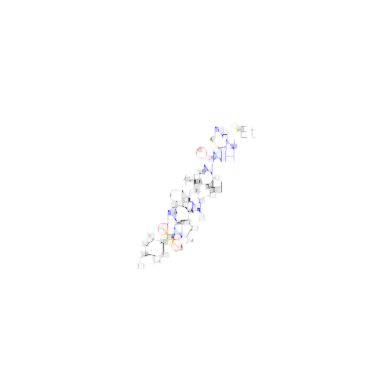 CCSc1nsc(NC(=O)N2C[C@H]3CC(N(C)c4c(C#N)cnc5c4ccn5S(=O)(=O)c4ccc(C)cc4)C[C@H]3C2)n1